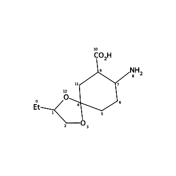 CCC1COC2(CCC(N)C(C(=O)O)C2)O1